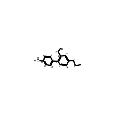 CCCc1ccc(-c2ccc(O)cc2)c(CC)c1